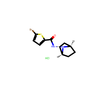 Cl.O=C(N[C@@H]1C[C@H]2CC[C@@H]1N2)c1ccc(Br)s1